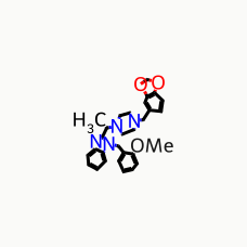 COc1ccccc1Cn1c(C(C)N2CCN(Cc3ccc4c(c3)OCO4)CC2)nc2ccccc21